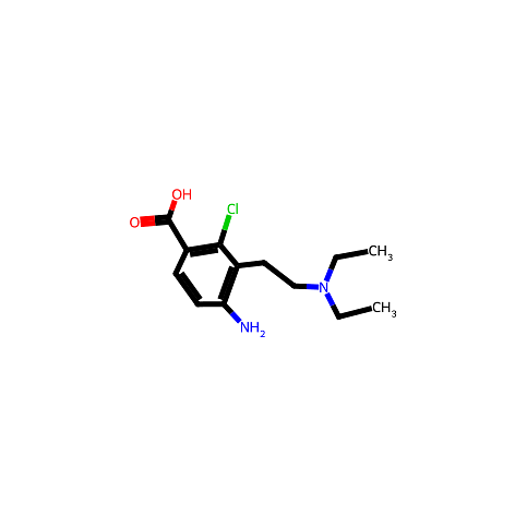 CCN(CC)CCc1c(N)ccc(C(=O)O)c1Cl